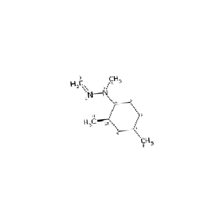 C=NN(C)C1CCC(C)C[C@H]1C